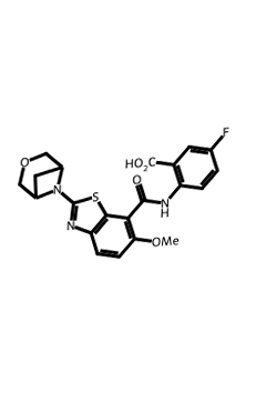 COc1ccc2nc(N3C4COCC3C4)sc2c1C(=O)Nc1ccc(F)cc1C(=O)O